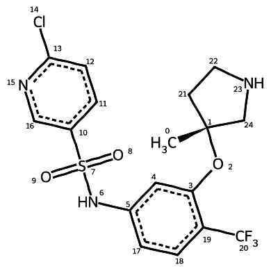 C[C@@]1(Oc2cc(NS(=O)(=O)c3ccc(Cl)nc3)ccc2C(F)(F)F)CCNC1